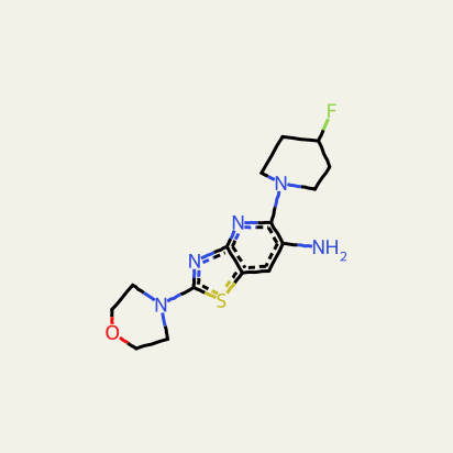 Nc1cc2sc(N3CCOCC3)nc2nc1N1CCC(F)CC1